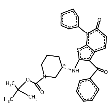 CC(C)(C)OC(=O)N1CCC[C@H](Nc2sc3c(ccc(=O)n3-c3ccccc3)c2C(=O)c2ccccc2)C1